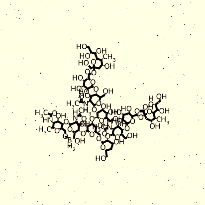 BOCC1OC(C)[C@@H](NC(C)=O)[C@@H](O)[C@@H]1OC1OC(CO)[C@@H](OC2OC(COC3OC(CO)C[C@H](O)[C@H]3OC3OC(CO)[C@@H](OC4OC(COC5(C(=O)O)C[C@@H](O)[C@@H](C)C(C(O)[C@H](O)CO)O5)[C@H](O)[C@H](O)[C@@H]4O)[C@H](O)[C@@H]3NC(C)=O)[C@@H](O)[C@H](O[C@@H]3OC(CO)C(O)[C@H](O)[C@@H]3OC3OC(CO)[C@@H](OC4OC(COC5(C(=O)O)C[C@@H](O)[C@@H](C)C(C(O)[C@H](O)CO)O5)[C@H](O)[C@H](O)[C@@H]4O)[C@H](O)[C@@H]3NC(C)=O)[C@H]2O)[C@H](O)[C@@H]1NC(C)=O